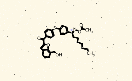 CCCCCCC/C(=N\OC(C)=O)c1ccc(Sc2ccc(C(=O)c3cc4cccc(CO)c4o3)cc2)cc1